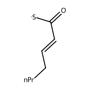 CCCC/C=C/C(=O)[S]